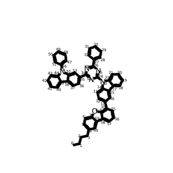 CCCCc1ccc2oc3c(-c4ccc5c(c4)c4ccccc4n5-c4nc(-c5ccccc5)nc(-c5ccc6c7ccccc7n(-c7ccccc7)c6c5)n4)cccc3c2c1